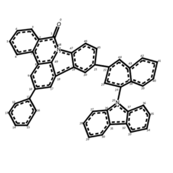 O=c1c2ccccc2c2cc(-c3ccccc3)cc3c4cc(-c5cc(-n6c7ccccc7c7ccccc76)c6ccccc6c5)ccc4n1c23